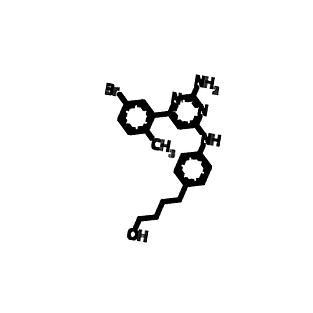 Cc1ccc(Br)cc1-c1cc(Nc2ccc(CCCCO)cc2)nc(N)n1